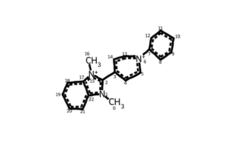 Cn1c(-c2cc[n+](-c3ccccc3)cc2)[n+](C)c2ccccc21